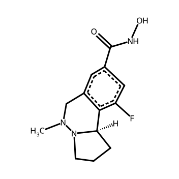 CN1Cc2cc(C(=O)NO)cc(F)c2[C@H]2CCCN21